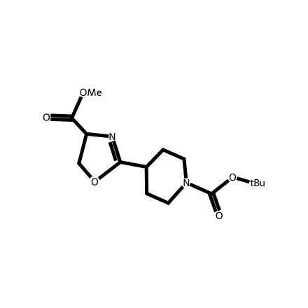 COC(=O)C1COC(C2CCN(C(=O)OC(C)(C)C)CC2)=N1